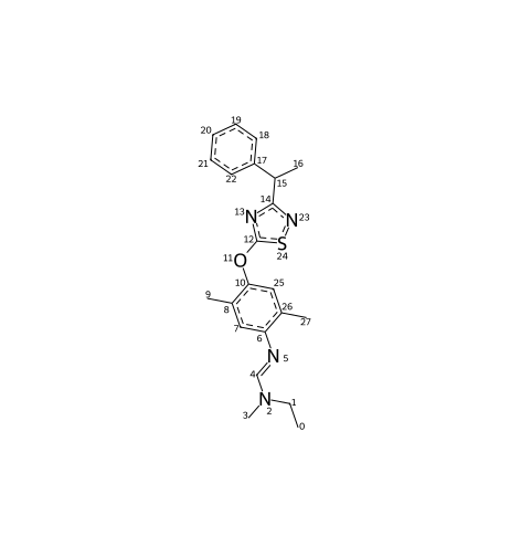 CCN(C)C=Nc1cc(C)c(Oc2nc(C(C)c3ccccc3)ns2)cc1C